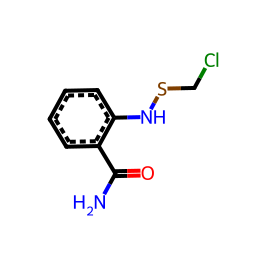 NC(=O)c1ccccc1NSCCl